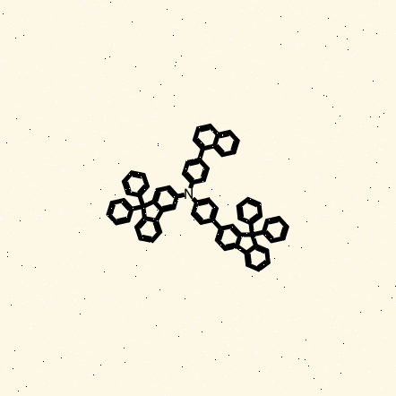 c1ccc(C2(c3ccccc3)c3ccccc3-c3cc(N(c4ccc(-c5ccc6c(c5)C(c5ccccc5)(c5ccccc5)c5ccccc5-6)cc4)c4ccc(-c5cccc6ccccc56)cc4)ccc32)cc1